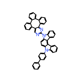 c1ccc(-c2ccc(-n3c4ccccc4c4c5c6ccccc6n(-c6ncc7c(n6)-c6ccccc6-c6ccccc6-c6ccccc6-7)c5ccc43)cc2)cc1